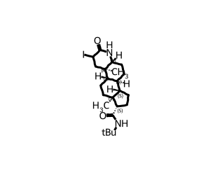 CC(C)(C)NC(=O)[C@H]1CC[C@H]2[C@@H]3CC[C@H]4NC(=O)C(I)C[C@]4(C)[C@H]3CC[C@]12C